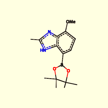 COc1ccc(B2OC(C)(C)C(C)(C)O2)c2[nH]c(C)nc12